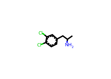 CC(N)Cc1ccc(Cl)c(Cl)c1